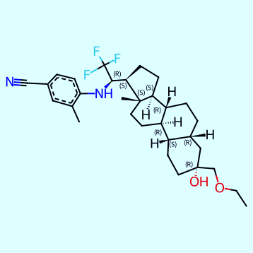 CCOC[C@@]1(O)CC[C@H]2[C@H](CC[C@@H]3[C@@H]2CC[C@]2(C)[C@@H]([C@@H](Nc4ccc(C#N)cc4C)C(F)(F)F)CC[C@@H]32)C1